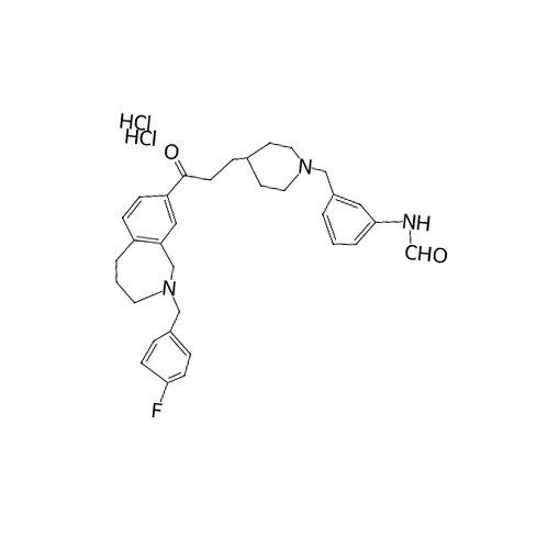 Cl.Cl.O=CNc1cccc(CN2CCC(CCC(=O)c3ccc4c(c3)CN(Cc3ccc(F)cc3)CCC4)CC2)c1